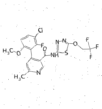 COc1ccc(Cl)c(F)c1-c1cc(C)ncc1C(=O)Nc1nnc(OCC(F)(F)F)s1